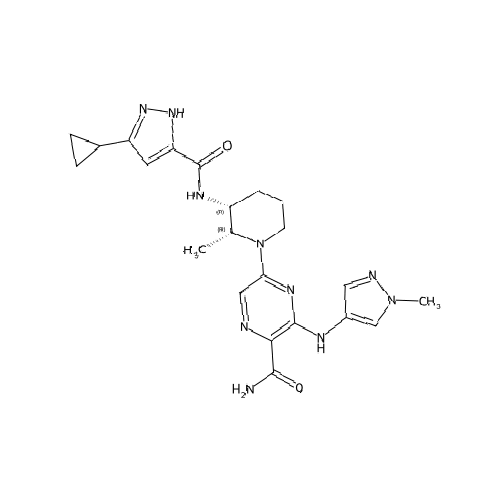 C[C@@H]1[C@H](NC(=O)c2cc(C3CC3)n[nH]2)CCCN1c1cnc(C(N)=O)c(Nc2cnn(C)c2)n1